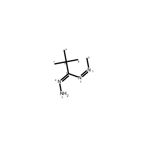 C/N=N\C(=N/N)C(C)(C)C